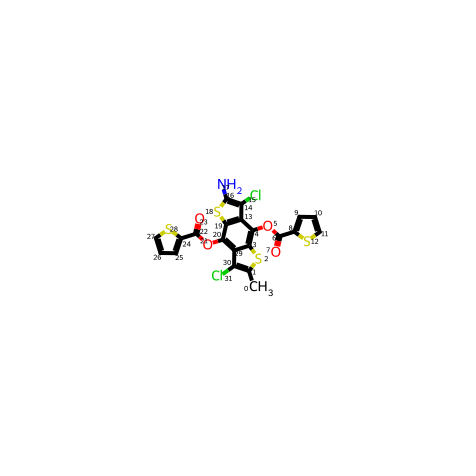 Cc1sc2c(OC(=O)c3cccs3)c3c(Cl)c(N)sc3c(OC(=O)c3cccs3)c2c1Cl